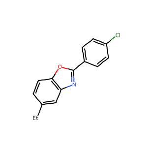 CCc1ccc2oc(-c3ccc(Cl)cc3)nc2c1